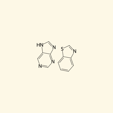 c1ccc2scnc2c1.c1ncc2[nH]cnc2n1